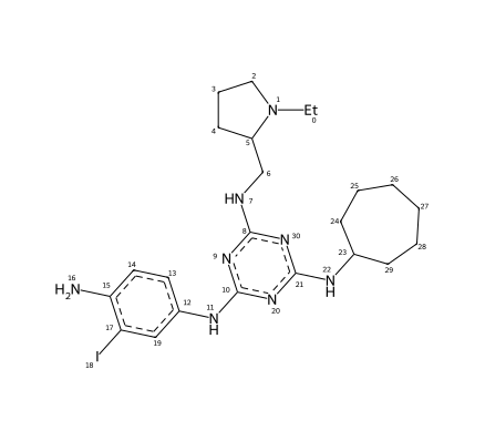 CCN1CCCC1CNc1nc(Nc2ccc(N)c(I)c2)nc(NC2CCCCCC2)n1